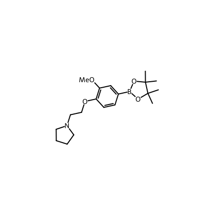 COc1cc(B2OC(C)(C)C(C)(C)O2)ccc1OCCN1CCCC1